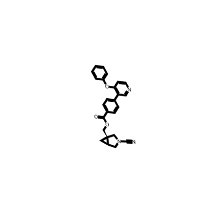 N#CN1CC2C[C@]2(COC(=O)c2ccc(-c3cnccc3Oc3ccccc3)cc2)C1